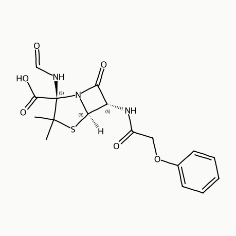 CC1(C)S[C@@H]2[C@@H](NC(=O)COc3ccccc3)C(=O)N2[C@@]1(NC=O)C(=O)O